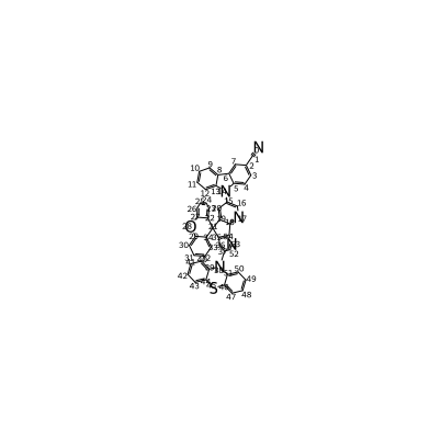 N#Cc1ccc2c(c1)c1ccccc1n2-c1cnc2c(c1)C1(c3ccccc3Oc3ccccc31)c1cc(N3c4ccccc4Sc4ccccc43)cnc1-2